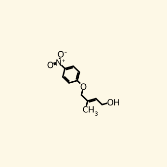 CC(=CCO)COc1ccc([N+](=O)[O-])cc1